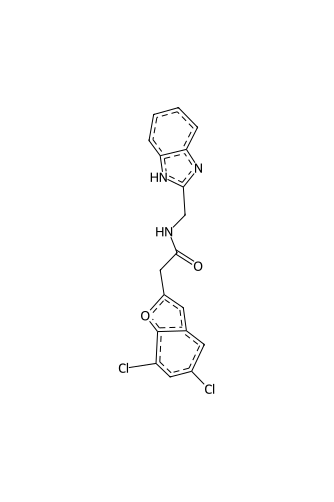 O=C(Cc1cc2cc(Cl)cc(Cl)c2o1)NCc1nc2ccccc2[nH]1